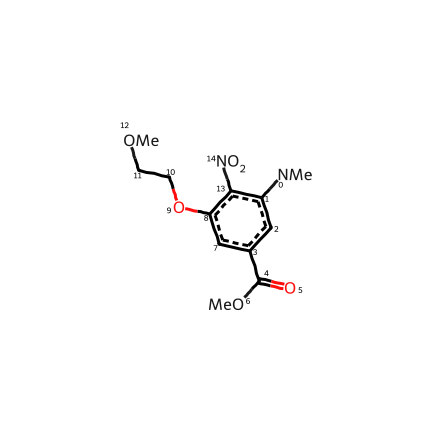 CNc1cc(C(=O)OC)cc(OCCOC)c1[N+](=O)[O-]